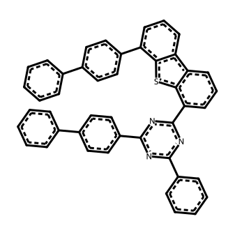 c1ccc(-c2ccc(-c3nc(-c4ccccc4)nc(-c4cccc5c4sc4c(-c6ccc(-c7ccccc7)cc6)cccc45)n3)cc2)cc1